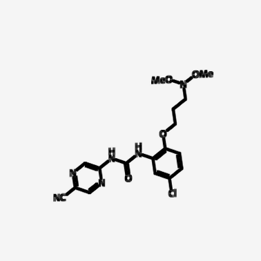 CON(CCCOc1ccc(Cl)cc1NC(=O)Nc1cnc(C#N)cn1)OC